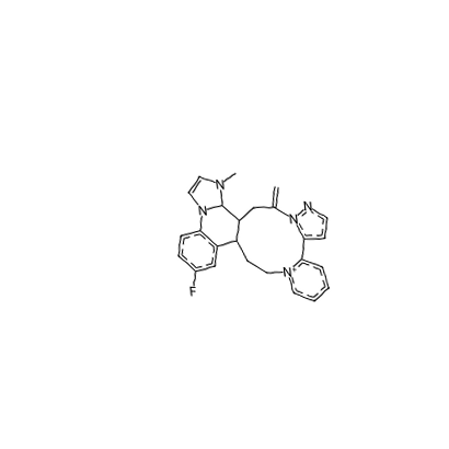 C=C1CC2C(CC[n+]3ccccc3-c3ccnn31)c1cc(F)ccc1N1C=CN(C)C21